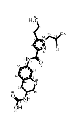 CCCc1cc(C(=O)Nc2ccc3c(c2)OCC(NC(=O)O)C3)nn1CC(F)F